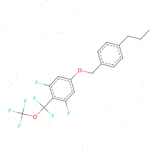 CCCc1ccc(COc2cc(F)c(C(F)(F)OC(F)(F)F)c(F)c2)cc1